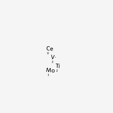 [Ce].[Mo].[Ti].[V]